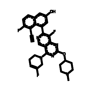 C#Cc1c(F)ccc2cc(O)cc(-c3ncc4c(N5CCC=C(F)C5)nc(OC5CCN(C)CC5)nc4c3F)c12